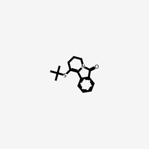 CC(C)(C)SC1=C2c3ccccc3C(=O)N2CCC1